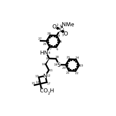 CNS(=O)(=O)c1ccc(N[C@H](CCN2CC(C)(C(=O)O)C2)CSc2ccccc2)c(C)c1